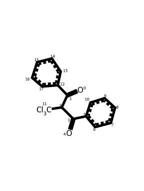 O=C([C](C(=O)c1ccccc1)C(Cl)(Cl)Cl)c1ccccc1